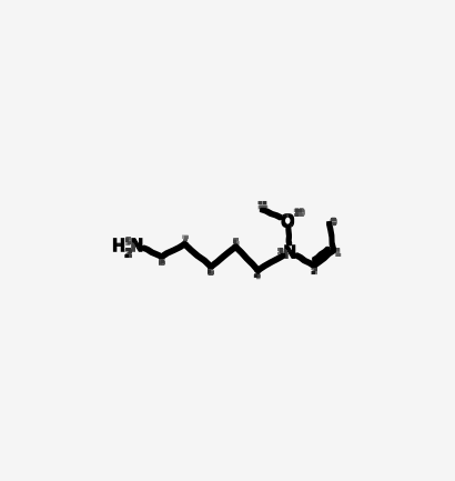 C/C=C\N(CCCCCN)OC